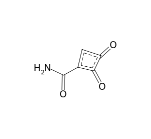 NC(=O)c1cc(=O)c1=O